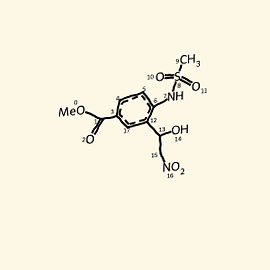 COC(=O)c1ccc(NS(C)(=O)=O)c(C(O)C[N+](=O)[O-])c1